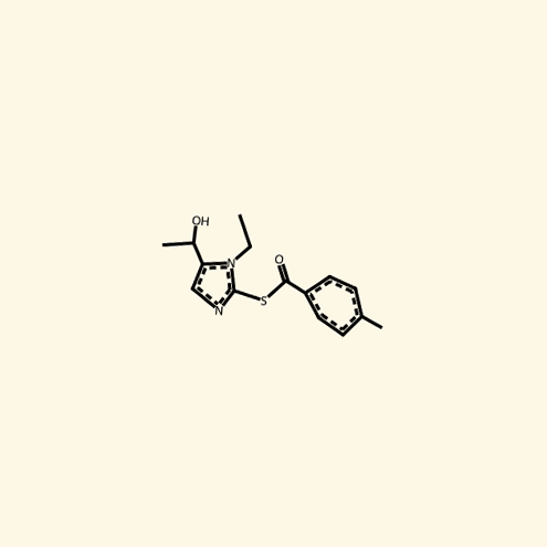 CCn1c(C(C)O)cnc1SC(=O)c1ccc(C)cc1